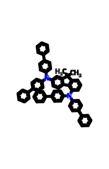 CC1(C)c2cc(N(c3ccc(-c4ccccc4)cc3)c3ccc(-c4ccccc4)cc3)ccc2-c2c(N(c3ccc(-c4ccccc4)cc3)c3ccc(-c4ccccc4)cc3)cccc21